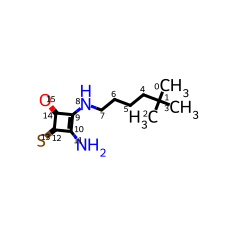 CC(C)(C)CCCCNc1c(N)c(=S)c1=O